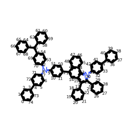 c1ccc(-c2ccc(N(c3ccc(-c4cc5c(-c6ccccc6)c(-c6ccccc6)n(-c6ccc(-c7ccccc7)cc6)c5c5ccccc45)cc3)c3ccc(C(c4ccccc4)c4ccccc4)cc3)cc2)cc1